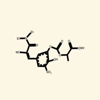 CCN(CC)C(=O)C(C#N)=Cc1cc(OC(=O)OC(C)C(=O)OC)c(O)c([N+](=O)[O-])c1